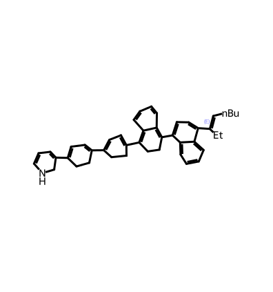 CCCC/C=C(\CC)c1ccc(C2=c3ccccc3=C(C3=CC=C(C4=CC=C(C5=CC=CNC5)CC4)CC3)CC2)c2ccccc12